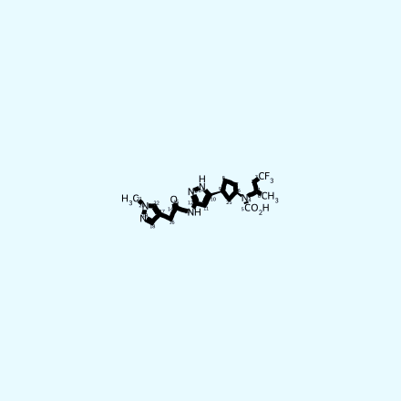 CC(CC(F)(F)F)N(C(=O)O)[C@@H]1CC[C@H](c2cc(NC(=O)Cc3cnn(C)c3)n[nH]2)C1